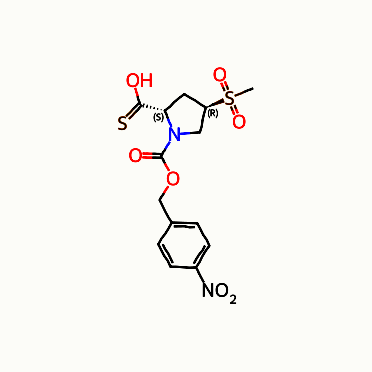 CS(=O)(=O)[C@@H]1C[C@@H](C(O)=S)N(C(=O)OCc2ccc([N+](=O)[O-])cc2)C1